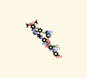 CC(C)c1ccccc1[C@@H]1CN(Cc2ccc(OC3CC3)c(OC3CC3)c2)CCN1C1CC2(C1)CN(c1ccc(C(=O)NS(=O)(=O)c3ccc(NCC4CCC(C)(O)CC4)c([N+](=O)[O-])c3)c(Oc3cnc4[nH]cc(F)c4c3)c1)C2